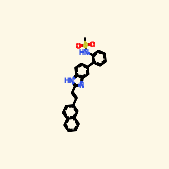 CS(=O)(=O)Nc1ccccc1-c1ccc2[nH]c(/C=C/c3ccc4ccccc4c3)nc2c1